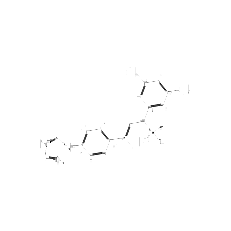 CC(=CC(c1cc(Cl)cc(Cl)c1)C(F)(F)F)c1ccc(-n2cncn2)cc1